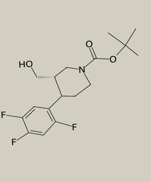 CC(C)(C)OC(=O)N1CCC(c2cc(F)c(F)cc2F)[C@H](CO)C1